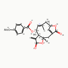 C=C1C(=O)O[C@H]2CC3=C[C@@H](C/C(C)=C/[C@@H](OC(=O)c4ccc(OC)cc4)[C@H]12)OC3=O